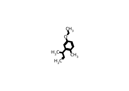 [CH2]C(C=C)c1cc(OCC)ccc1C